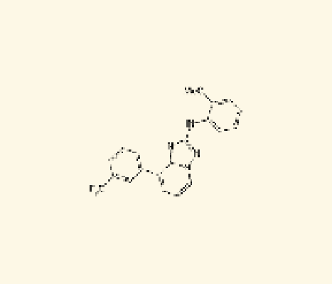 COc1ccccc1Nc1nc2c(-c3cccc(C(F)(F)F)c3)cccn2n1